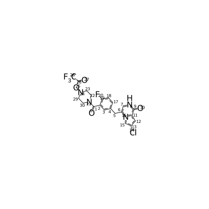 O=C(c1cc(Cc2c[nH]c(=O)c3cc(Cl)cn23)ccc1F)N1CCN(OC(=O)C(F)(F)F)CC1